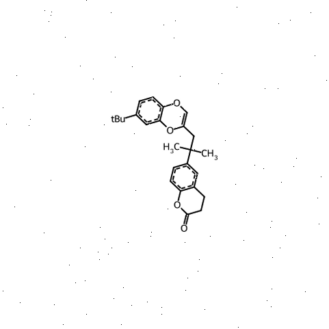 CC(C)(C)c1ccc2c(c1)OC(CC(C)(C)c1ccc3c(c1)CCC(=O)O3)=CO2